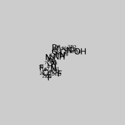 O=C(Nc1cnc2ccc(N3C[C@@H](F)C[C@@H]3c3cc(F)ccc3F)nn12)c1ncc(N2CC[C@H](O)C2)cc1Br